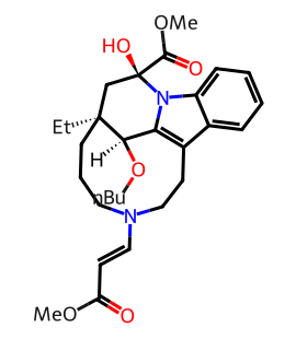 CCCCO[C@@H]1c2c3c4ccccc4n2[C@@](O)(C(=O)OC)C[C@]1(CC)CCCN(/C=C/C(=O)OC)CC3